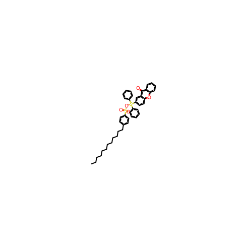 CCCCCCCCCCCCc1ccc(S(=O)(=O)OS(c2ccccc2)(c2ccccc2)c2ccc3oc4ccccc4c(=O)c3c2)cc1